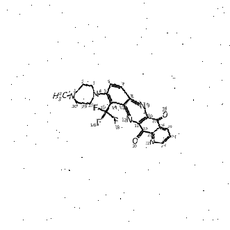 CN1CCN(c2ccc3nc4c(nc3c2C(F)(F)F)C(=O)c2ncccc2C4=O)CC1